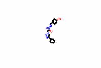 O=C(Cn1cc(-c2ccccc2)nn1)NN=Cc1ccc(O)cc1